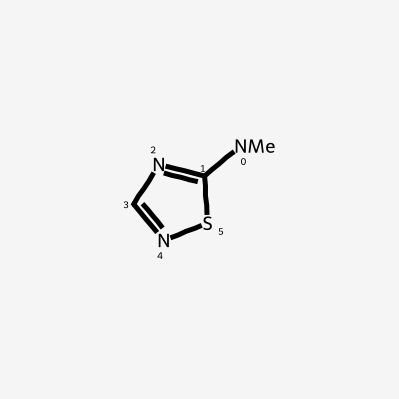 CNc1ncns1